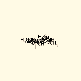 COC(=O)Nc1nc(C)c(S(=O)(=O)N2CCN(C[C@H](C)Nc3ncnc4c(C(=O)N5CCCC5(C)C)cccc34)CC2)s1